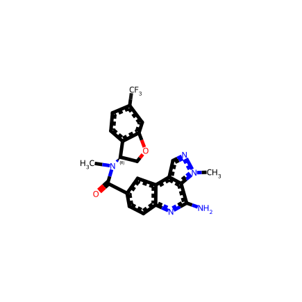 CN(C(=O)c1ccc2nc(N)c3c(cnn3C)c2c1)[C@H]1COc2cc(C(F)(F)F)ccc21